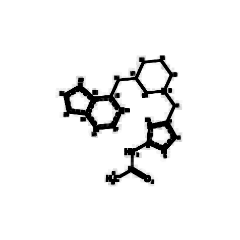 CC(=O)Nc1ncc(CN2CCCC(Cc3ncnc4ccsc34)C2)s1